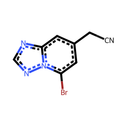 N#CCc1cc(Br)n2ncnc2c1